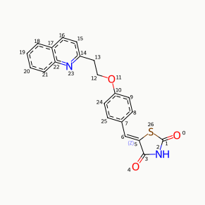 O=C1NC(=O)/C(=C/c2ccc(OCCc3ccc4ccccc4n3)cc2)S1